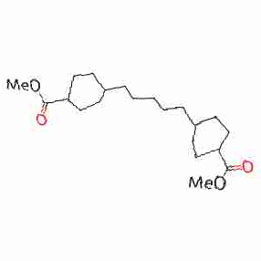 COC(=O)C1CCC(CCCCCC2CCC(C(=O)OC)CC2)CC1